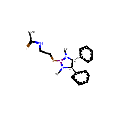 CNC(=S)NCCSP1N(C(C)C)[C@H](c2ccccc2)[C@@H](c2ccccc2)N1C(C)C